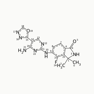 CC1(C)NC(=O)c2ccc(Nc3ncc(-c4nnco4)c(N)n3)c(F)c21